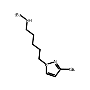 CC(C)(C)NCCCCCB1C=CC(C(C)(C)C)=N1